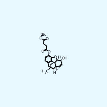 CN1CC[C@]23c4c5ccc(OC(=O)CCC(=O)OC(C)(C)C)c4O[C@H]2[C@@H](O)C=C[C@H]3[C@H]1C5